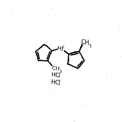 CC1=[C]([Hf][C]2=C(C)C=CC2)CC=C1.Cl.Cl